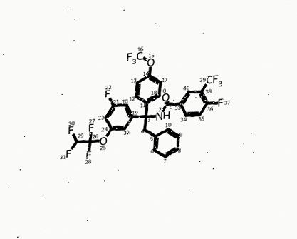 O=C(NC(Cc1ccccc1)(c1ccc(OC(F)(F)F)cc1)c1cc(F)cc(OC(F)(F)C(F)F)c1)c1ccc(F)c(C(F)(F)F)c1